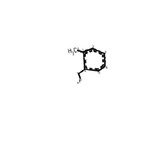 Cc1ccccc1CF